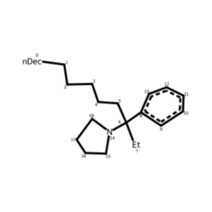 CCCCCCCCCCCCCCCC(CC)(c1ccccc1)N1CCCC1